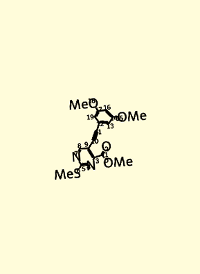 COC(=O)c1nc(SC)ncc1C#Cc1cc(OC)cc(OC)c1